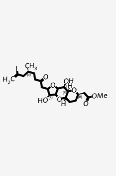 C=C(I)C[C@H](C)CCC(=O)CC1OC2C(O[C@H]3CC[C@H](CC(=O)OC)O[C@@H]3[C@@H]2O)[C@H]1O